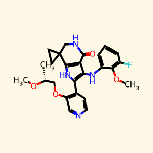 COc1c(F)cccc1Nc1c(-c2ccncc2OC[C@@H](C)OC)[nH]c2c1C(=O)NCC21CC1